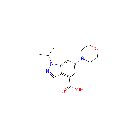 CC(C)n1ncc2c(C(=O)O)cc(N3CCOCC3)cc21